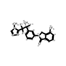 Cn1cnnc1C(F)(F)[C@@](C)(F)c1cccc(N2Cc3c(cccc3C(F)(F)F)C2=O)c1